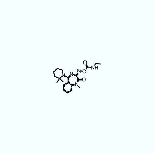 CCNC(=O)ON=c1nc(N2CCCCC2(C)C)c2ccccc2n(C)c1=O